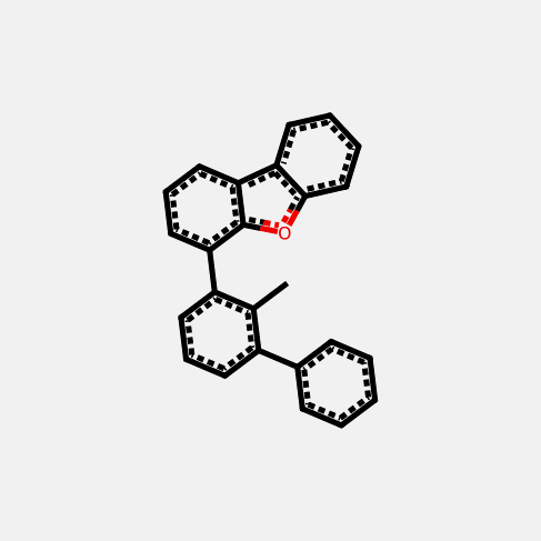 Cc1c(-c2ccccc2)cccc1-c1cccc2c1oc1ccccc12